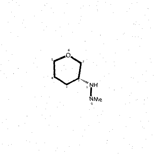 CNN[C@@H]1CCCOC1